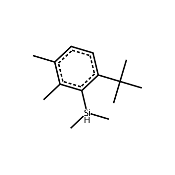 Cc1ccc(C(C)(C)C)c([SiH](C)C)c1C